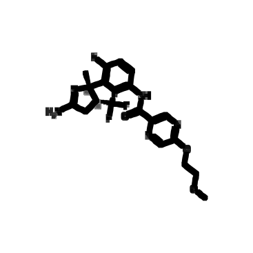 COCCOc1cnc(C(=O)Nc2ccc(F)c([C@@]3(C)N=C(N)C[C@H]3C(F)(F)F)c2)cn1